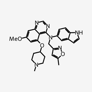 COc1cc(OC2CCN(C)CC2)c2c(N(Cc3cc(C)on3)c3ccc4[nH]ccc4c3)ncnc2c1